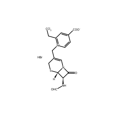 Br.O=CN[C@@H]1C(=O)N2C=C(C[n+]3ccc(C(=O)[O-])cc3CC(Cl)(Cl)Cl)CS[C@@H]12